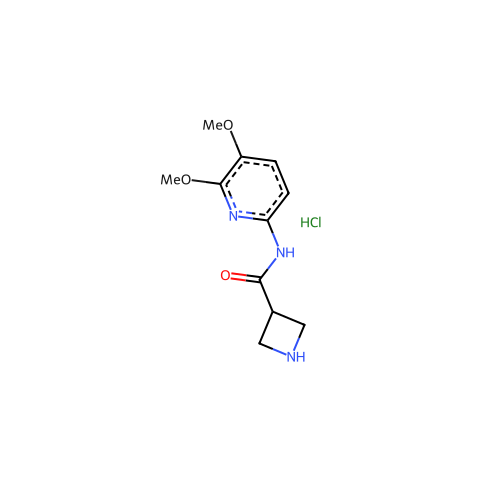 COc1ccc(NC(=O)C2CNC2)nc1OC.Cl